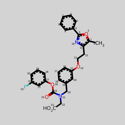 Cc1oc(-c2ccccc2)nc1CCOc1cccc(CN(CC(=O)O)C(=O)Oc2cccc(F)c2)c1